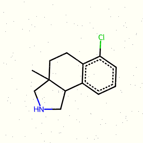 CC12CCc3c(Cl)cccc3C1CNC2